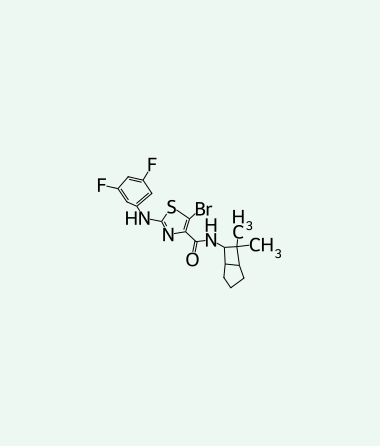 CC1(C)C2CCCC2C1NC(=O)c1nc(Nc2cc(F)cc(F)c2)sc1Br